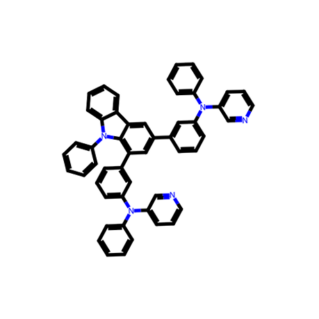 c1ccc(N(c2cccnc2)c2cccc(-c3cc(-c4cccc(N(c5ccccc5)c5cccnc5)c4)c4c(c3)c3ccccc3n4-c3ccccc3)c2)cc1